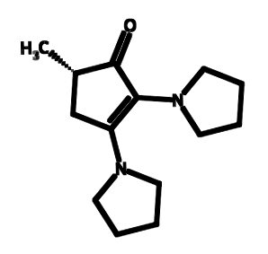 C[C@H]1CC(N2CCCC2)=C(N2CCCC2)C1=O